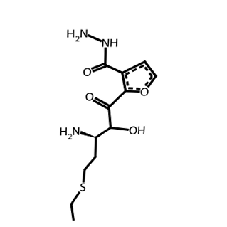 CCSCC[C@@H](N)C(O)C(=O)c1occc1C(=O)NN